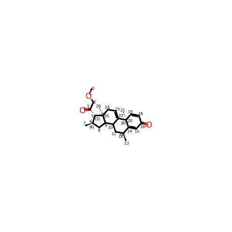 COCC(=O)[C@H]1[C@H](C)CC2C3C[C@H](C)C4=CC(=O)C=C[C@]4(C)C3=CC[C@@]21C